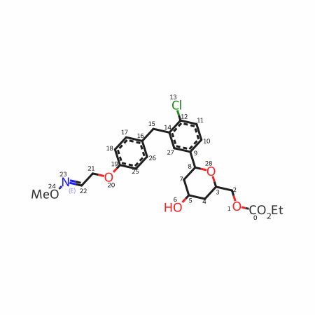 CCOC(=O)OCC1CC(O)CC(c2ccc(Cl)c(Cc3ccc(OC/C=N/OC)cc3)c2)O1